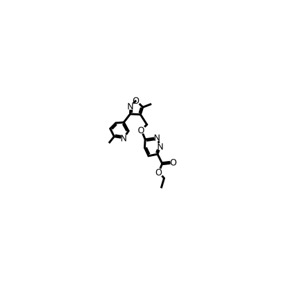 CCOC(=O)c1ccc(OCc2c(-c3ccc(C)nc3)noc2C)nn1